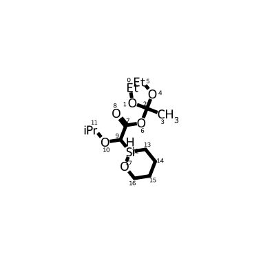 CCOC(C)(OCC)OC(=O)C(OC(C)C)[SiH]1CCCCO1